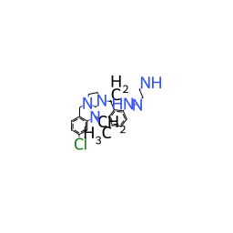 C=Nc1cc(Cl)ccc1CN1CCN(C(=C)c2cc(C)ccc2N/N=C\C=N)C1